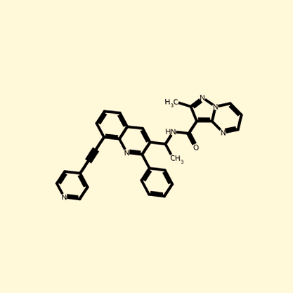 Cc1nn2cccnc2c1C(=O)NC(C)c1cc2cccc(C#Cc3ccncc3)c2nc1-c1ccccc1